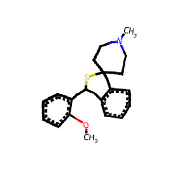 COc1ccccc1C1SC2(CCN(C)CC2)c2ccccc21